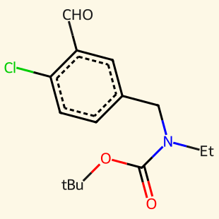 CCN(Cc1ccc(Cl)c(C=O)c1)C(=O)OC(C)(C)C